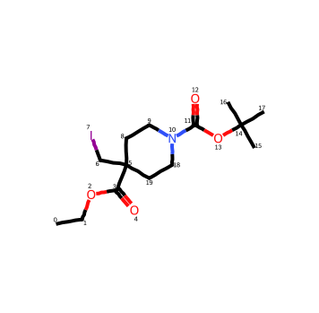 CCOC(=O)C1(CI)CCN(C(=O)OC(C)(C)C)CC1